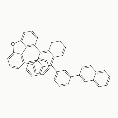 C1=Cc2c(c(-c3cccc4oc5cccc(-c6ccccc6)c5c34)c3ccccc3c2-c2cccc(-c3ccc4ccccc4c3)c2)CC1